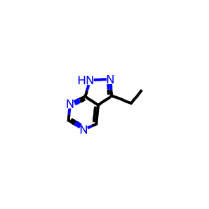 CCc1n[nH]c2ncncc12